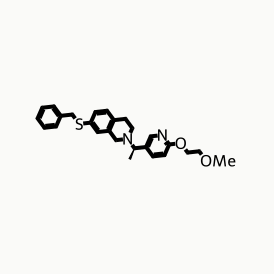 COCCOc1ccc([C@@H](C)N2CCc3ccc(SCc4ccccc4)cc3C2)cn1